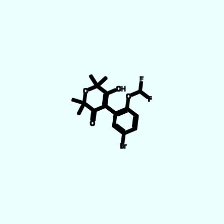 CC1(C)OC(C)(C)C(O)=C(c2cc(Br)ccc2OC(F)F)C1=O